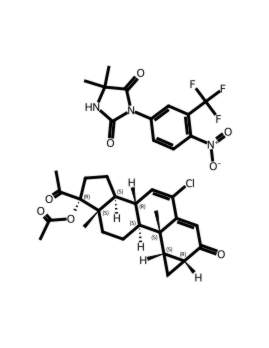 CC(=O)O[C@]1(C(C)=O)CC[C@H]2[C@@H]3C=C(Cl)C4=CC(=O)[C@@H]5C[C@@H]5[C@]4(C)[C@H]3CC[C@@]21C.CC1(C)NC(=O)N(c2ccc([N+](=O)[O-])c(C(F)(F)F)c2)C1=O